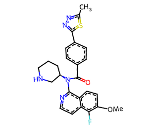 COc1ccc2c(N(C(=O)c3ccc(-c4nnc(C)s4)cc3)[C@@H]3CCCNC3)nccc2c1F